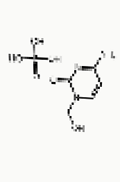 Nc1ccn(CO)c(=O)n1.O=P(O)(O)O